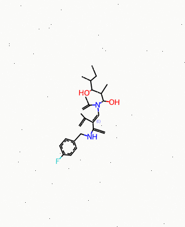 C=C(C)/C(=C\N(C(=C)C)C(O)C(C)C(O)C(C)CC)C(=C)NCc1ccc(F)cc1